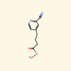 COC(=O)CCCc1ccnc(C#N)c1